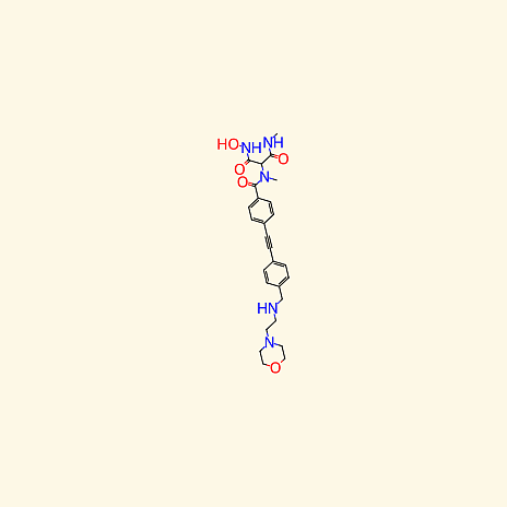 CNC(=O)C(C(=O)NO)N(C)C(=O)c1ccc(C#Cc2ccc(CNCCN3CCOCC3)cc2)cc1